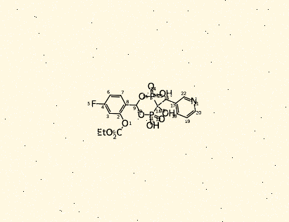 CCOC(=O)Oc1cc(F)ccc1C1OP(=O)(O)C(O)(Cc2cccnc2)P(=O)(O)O1